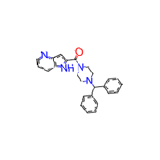 O=C(c1cc2ncccc2[nH]1)N1CCN(C(c2ccccc2)c2ccccc2)CC1